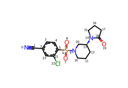 N#Cc1ccc(S(=O)(=O)N2CCC[C@H](N3CCCC3=O)C2)c(Cl)c1